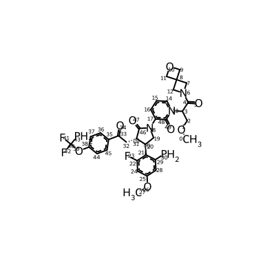 COCC(C(=O)N1CC2(COC2)C1)n1cccc(N2C[C@@H](c3c(F)cc(OC)cc3P)[C@H](CC(=O)c3ccc(OC(F)(F)P)cc3)C2=O)c1=O